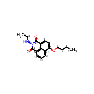 CCCCOc1ccc2c3c(cccc13)C(=O)N(NCC)C2=O